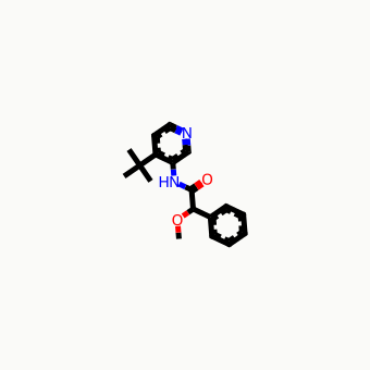 COC(C(=O)Nc1cnccc1C(C)(C)C)c1ccccc1